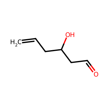 C=CCC(O)CC=O